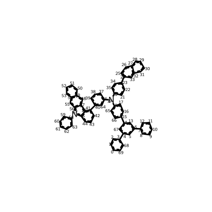 c1ccc(-c2cc(-c3ccccc3)cc(-c3ccc(N(c4ccc(-c5ccc6ccccc6c5)cc4)c4cccc(-c5cccc6c5c5cc7ccccc7cc5n6-c5ccccc5)c4)cc3)c2)cc1